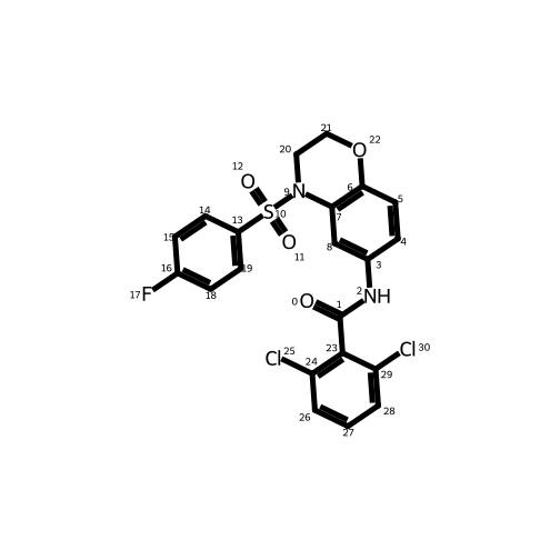 O=C(Nc1ccc2c(c1)N(S(=O)(=O)c1ccc(F)cc1)CCO2)c1c(Cl)cccc1Cl